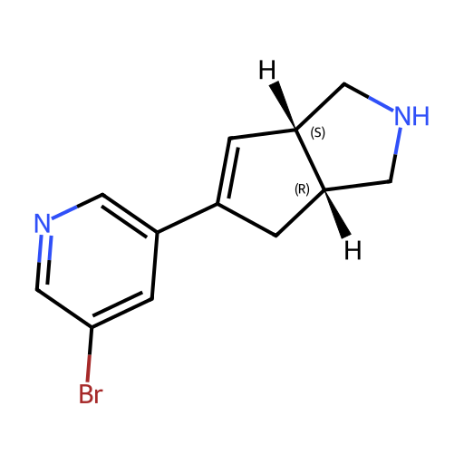 Brc1cncc(C2=C[C@@H]3CNC[C@@H]3C2)c1